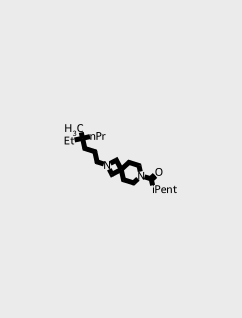 CCCC(C)C(=O)N1CCC2(CC1)CN(CCCC(C)(CC)CCC)C2